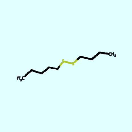 CCCCCSSCCCC